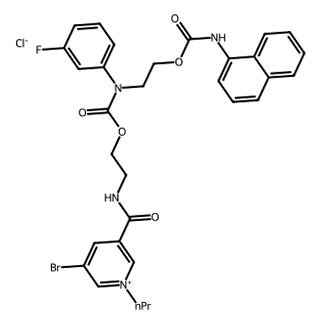 CCC[n+]1cc(Br)cc(C(=O)NCCOC(=O)N(CCOC(=O)Nc2cccc3ccccc23)c2cccc(F)c2)c1.[Cl-]